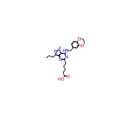 CCCc1nn(C)c2c(NCc3ccc4c(c3)OCCO4)nc(CCCCC(=O)O)nc12